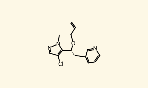 C=CCO[C@H](Cc1cccnc1)c1c(Cl)cnn1C